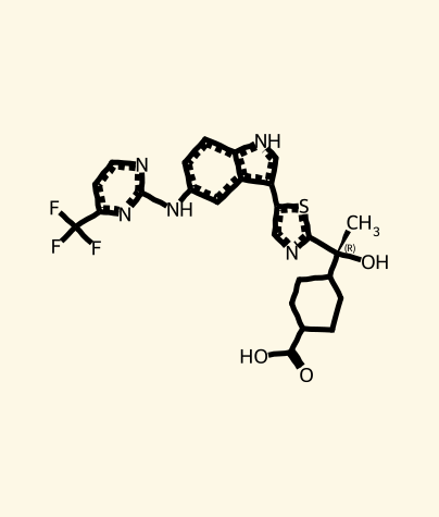 C[C@](O)(c1ncc(-c2c[nH]c3ccc(Nc4nccc(C(F)(F)F)n4)cc23)s1)C1CCC(C(=O)O)CC1